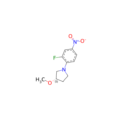 CO[C@H]1CCN(c2ccc([N+](=O)[O-])cc2F)C1